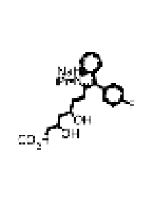 CC(C)n1c(C=CC(O)CC(O)CC(=O)O)c(-c2ccc(F)cc2)c2ccccc21.[NaH]